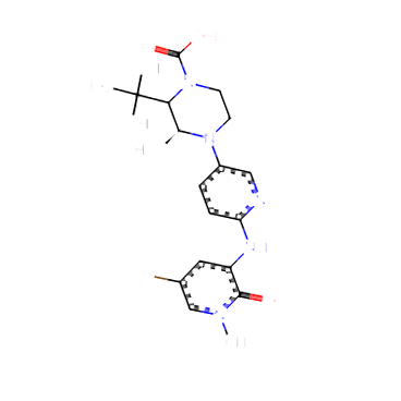 C[C@H]1C(C(C)(C)C)N(C(=O)O)CCN1c1ccc(Nc2cc(Br)cn(C)c2=O)nc1